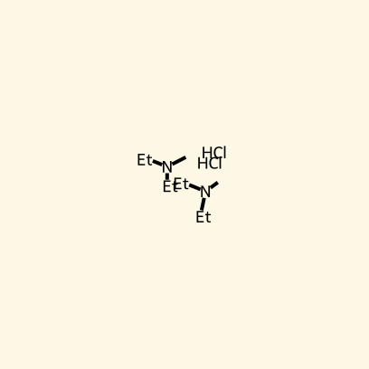 CCN(C)CC.CCN(C)CC.Cl.Cl